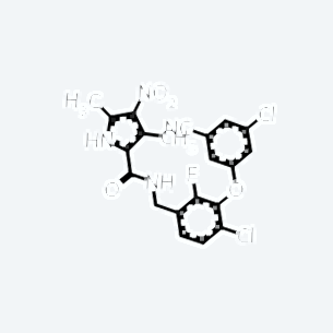 Cc1[nH]c(C(=O)NCc2ccc(Cl)c(Oc3cc(Cl)cc(C#N)c3)c2F)c(C)c1[N+](=O)[O-]